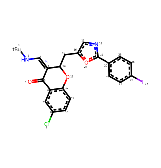 CC(C)(C)N/C=C1\C(=O)c2cc(Cl)ccc2OC1Cc1cnc(-c2ccc(I)cc2)o1